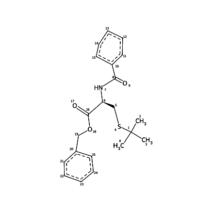 CC(C)(C)SC[C@H](NC(=O)c1ccccc1)C(=O)OCc1ccccc1